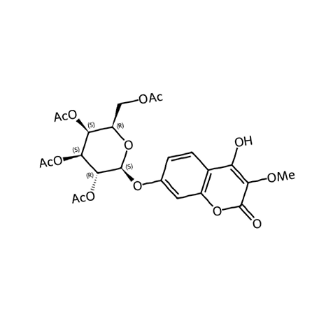 COc1c(O)c2ccc(O[C@@H]3O[C@H](COC(C)=O)[C@H](OC(C)=O)[C@H](OC(C)=O)[C@H]3OC(C)=O)cc2oc1=O